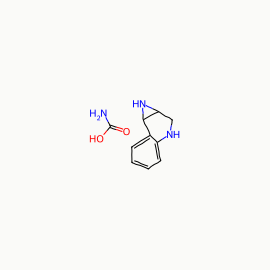 NC(=O)O.c1ccc2c(c1)NCC1NC21